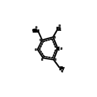 CCc1nc(C(C)C)ccc1C(C)(C)C